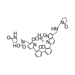 COc1nc(-c2cccc(-c3cccc(-c4ccc5c(CNCCN6CCCC6=O)cn(C)c5n4)c3Cl)c2Cl)ccc1CN(C[C@@H]1CCC(=O)N1)C(=O)O